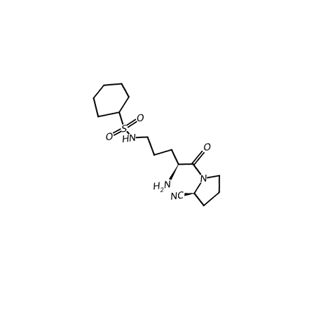 N#C[C@@H]1CCCN1C(=O)[C@@H](N)CCCNS(=O)(=O)C1CCCCC1